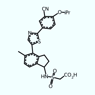 Cc1ccc2c(c1-c1cnc(-c3ccc(OC(C)C)c(C#N)c3)s1)CCC2NS(=O)(=O)CC(=O)O